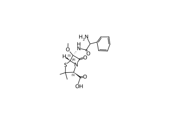 CO[C@@]1(NC(=O)C(N)c2ccccc2)C(=O)N2[C@@H](C(=O)O)C(C)(C)S[C@@H]21